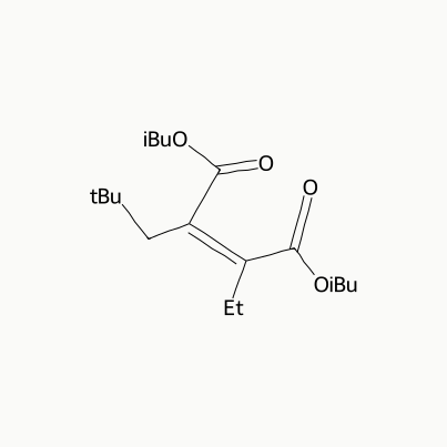 CC/C(C(=O)OCC(C)C)=C(\CC(C)(C)C)C(=O)OCC(C)C